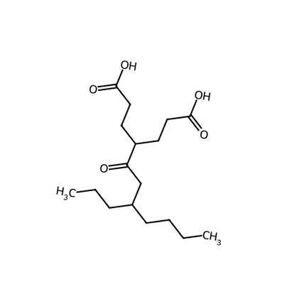 CCCCC(CCC)CC(=O)C(CCC(=O)O)CCC(=O)O